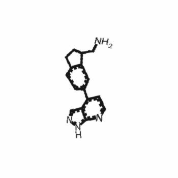 NCC1CCc2ccc(-c3ccnc4[nH]ncc34)cc21